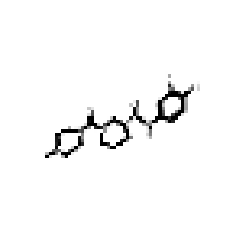 CN1CCN(C(=O)N2CCC[C@H](C(=O)Nc3ccc(Cl)c(F)c3)C2)CC1